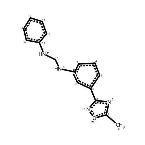 Cc1nc(-c2cccc(NCNc3ccccc3)c2)no1